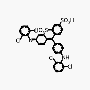 O=S(=O)(O)c1ccc(C(=C2C=CC(=Nc3c(Cl)cccc3Cl)C=C2)c2ccc(Nc3c(Cl)cccc3Cl)cc2)c(S(=O)(=O)O)c1